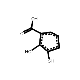 O=C(O)c1cccc(S)c1O